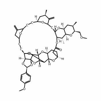 C=C1CC2CC[C@@]34OC5[C@H]6O[C@H](CC[C@@H]6O[C@H]6C(O3)[C@]3(O[C@@H](c7ccc(OC)cc7)O[C@@H]43)O[C@@H]56)CC(=O)O[C@@H]3[C@@H](C)[C@@H]4O[C@H](COC)[C@H](C)C[C@@H]4O[C@H]3CC3O[C@@H](CCC1O2)C[C@@H](C)C3=C